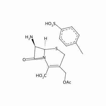 CC(=O)OCC1=C(C(=O)O)N2C(=O)[C@@H](N)[C@H]2SC1.Cc1ccc(S(=O)(=O)O)cc1